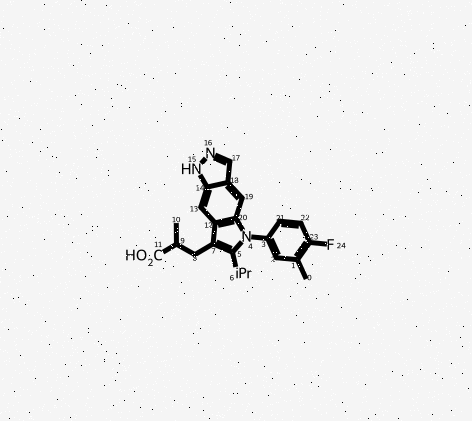 Cc1cc(-n2c(C(C)C)c(CC(C)C(=O)O)c3cc4[nH]ncc4cc32)ccc1F